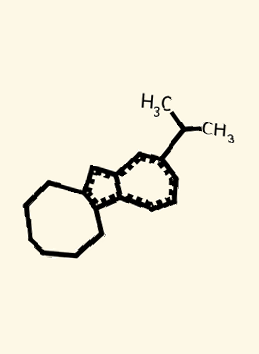 CC(C)c1cccc2c3c(cc-2c1)CCCCCC3